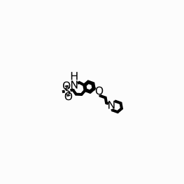 CS(=O)(=O)C1CCc2cc(OCCCN3CCCCC3)ccc2CN1